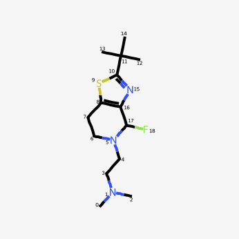 CN(C)CCN1CCc2sc(C(C)(C)C)nc2C1F